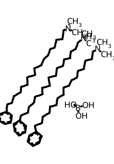 CN(C)CCCCCCCCCCCCCCCCCc1ccccc1.CN(C)CCCCCCCCCCCCCCCCCc1ccccc1.CN(C)CCCCCCCCCCCCCCCCCc1ccccc1.OB(O)O